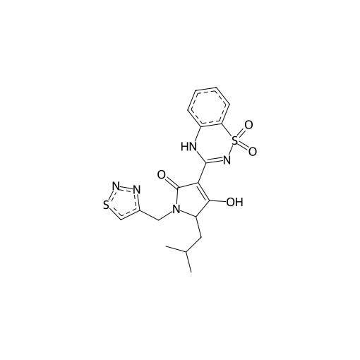 CC(C)CC1C(O)=C(C2=NS(=O)(=O)c3ccccc3N2)C(=O)N1Cc1csnn1